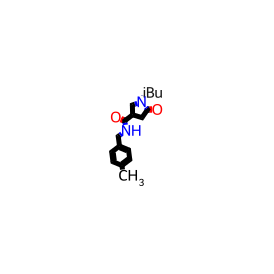 CCC(C)N1CC(C(=O)NCc2ccc(C)cc2)CC1=O